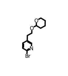 Brc1ccc(CCOC2CCCCO2)cn1